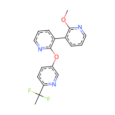 COc1ncccc1-c1cccnc1Oc1ccc(C(C)(F)F)nc1